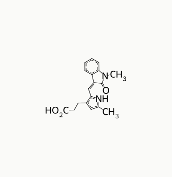 Cc1cc(CCC(=O)O)c(/C=C2\C(=O)N(C)c3ccccc32)[nH]1